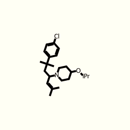 CC(C)=CC(CC(C)(C)c1ccc(Cl)cc1)N1CCC(OC(C)C)CC1